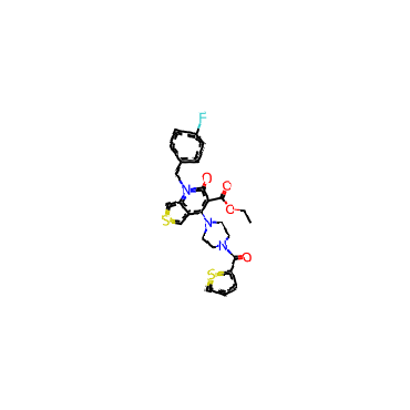 CCOC(=O)c1c(N2CCN(C(=O)c3cccs3)CC2)c2cscc2n(Cc2ccc(F)cc2)c1=O